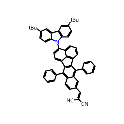 CC(C)(C)c1ccc2c(c1)c1cc(C(C)(C)C)ccc1n2-c1ccc2c3c(cccc13)-c1c-2c(-c2ccccc2)c2ccc(C=C(C#N)C#N)cc2c1-c1ccccc1